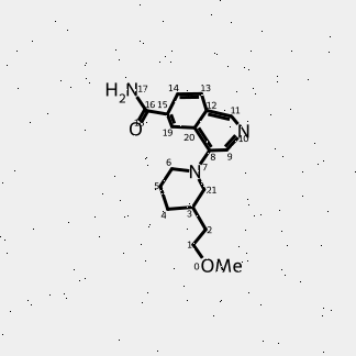 COCCC1CCCN(c2cncc3ccc(C(N)=O)cc23)C1